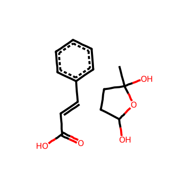 CC1(O)CCC(O)O1.O=C(O)C=Cc1ccccc1